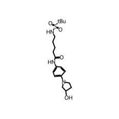 CC(C)(C)S(=O)(=O)NCCCCC(=O)Nc1ccc(N2CCC(O)C2)cc1